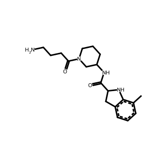 Cc1cccc2c1NC(C(=O)NC1CCCN(C(=O)CCCN)C1)C2